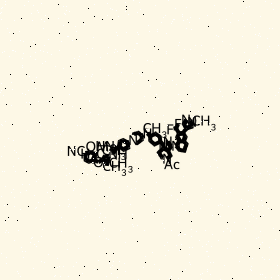 COc1cc(OC2C(C)(C)C(NC(=N)c3ccc(N4CCC(N(C)C5CCC(n6nc(N7CCCc8cc(-c9cnn(C)c9)c(C(F)F)cc87)c7c6CCN(C(C)=O)C7)CC5)CC4)cc3)C2(C)C)ccc1C#N